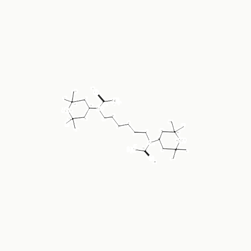 CC1(C)CC(N(CCCCCCN(C(N)=O)C2CC(C)(C)NC(C)(C)C2)C(N)=O)CC(C)(C)N1